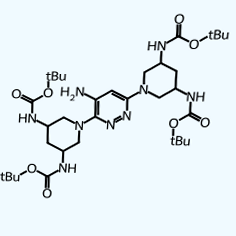 CC(C)(C)OC(=O)NC1CC(NC(=O)OC(C)(C)C)CN(c2cc(N)c(N3CC(NC(=O)OC(C)(C)C)CC(NC(=O)OC(C)(C)C)C3)nn2)C1